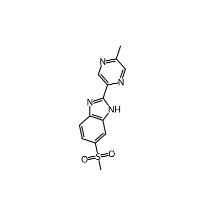 Cc1cnc(-c2nc3ccc(S(C)(=O)=O)cc3[nH]2)cn1